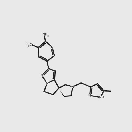 Cc1cc(CN2CC[C@@]3(CCn4nc(-c5cnc(N)c(C(F)(F)F)c5)cc43)C2)n[nH]1